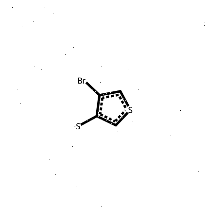 [S]c1cscc1Br